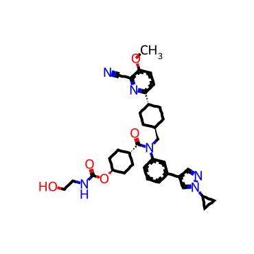 COc1ccc([C@H]2CC[C@H](CN(c3cccc(-c4cnn(C5CC5)c4)c3)C(=O)[C@H]3CC[C@H](OC(=O)NCCO)CC3)CC2)nc1C#N